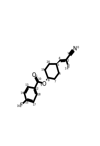 N#CC(F)=C[C@H]1CC[C@H](OC(=O)c2ccc(F)cc2)CC1